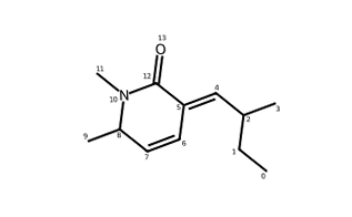 CCC(C)/C=C1\C=CC(C)N(C)C1=O